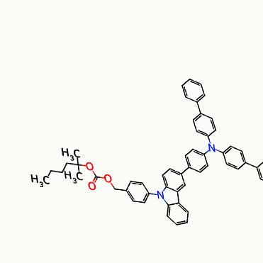 CCCCC(C)(C)OC(=O)OCc1ccc(-n2c3ccccc3c3cc(-c4ccc(N(c5ccc(-c6ccccc6)cc5)c5ccc(-c6ccccc6)cc5)cc4)ccc32)cc1